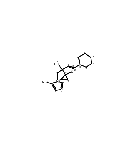 N#Cc1cncn1CC(O)(C=CC1CCCCC1)C1(Cl)CC1